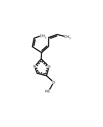 C\C=C/C=C(\C=C/C)c1ncc(OS)o1